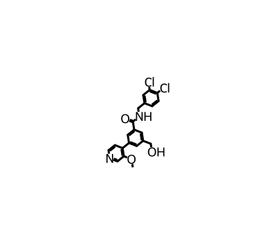 COc1cnccc1-c1cc(CO)cc(C(=O)NCc2ccc(Cl)c(Cl)c2)c1